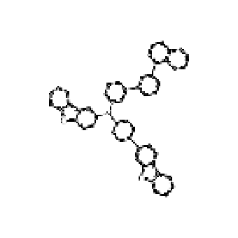 c1cc(-c2cccc(N(c3ccc(-c4ccc5c(c4)oc4ccccc45)cc3)c3ccc4oc5ccccc5c4c3)c2)cc(-c2cccc3ccccc23)c1